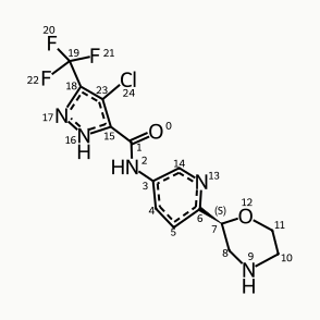 O=C(Nc1ccc([C@@H]2CNCCO2)nc1)c1[nH]nc(C(F)(F)F)c1Cl